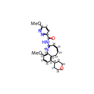 COc1ccc(C(=O)N/C2=N/c3c(OC)ccc(C4CCOCC4)c3CC=C=C2)nn1